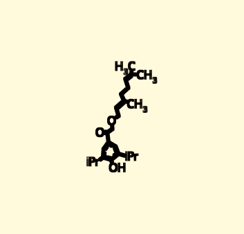 CC(C)=CCC/C(C)=C/COCC(=O)c1cc(C(C)C)c(O)c(C(C)C)c1